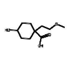 COCCC1(C(=O)O)CCC(O)CC1